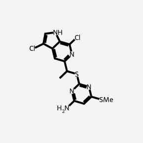 CSc1cc(N)nc(SC(C)c2cc3c(Cl)c[nH]c3c(Cl)n2)n1